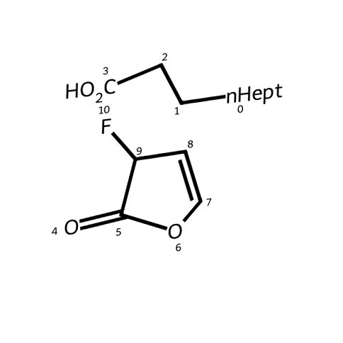 CCCCCCCCCC(=O)O.O=C1OC=CC1F